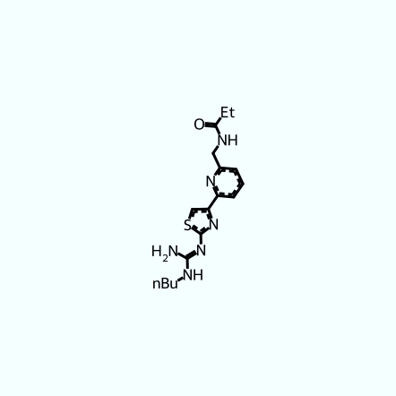 CCCCN/C(N)=N/c1nc(-c2cccc(CNC(=O)CC)n2)cs1